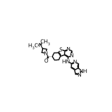 CN(C)C1CN(C(=O)[C@H]2CCc3c(sc4ncnc(Nc5cc6cn[nH]c6cn5)c34)C2)C1